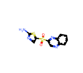 Nc1ncc(S(=O)(=O)c2cnc3ccccc3n2)s1